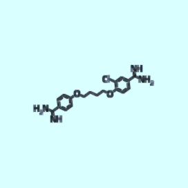 N=C(N)c1ccc(OCCCCOc2ccc(C(=N)N)cc2Cl)cc1